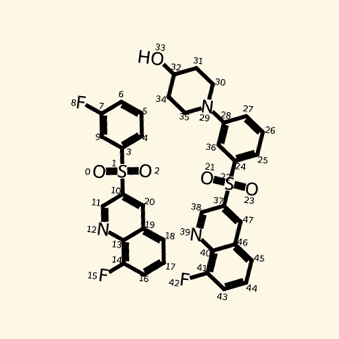 O=S(=O)(c1cccc(F)c1)c1cnc2c(F)cccc2c1.O=S(=O)(c1cccc(N2CCC(O)CC2)c1)c1cnc2c(F)cccc2c1